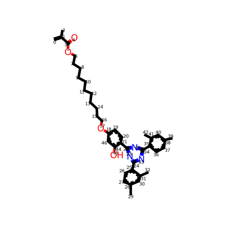 C=C(C)C(=O)OCCCCCCCCCCCOc1ccc(-c2nc(-c3ccc(C)cc3C)nc(-c3ccc(C)cc3C)n2)c(O)c1